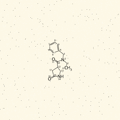 CCN(Cc1ccccc1)C(=O)C1CNC(=O)C1